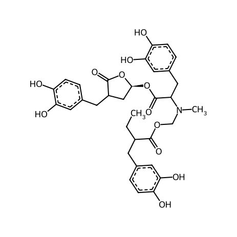 CCC(Cc1ccc(O)c(O)c1)C(=O)OCN(C)C(Cc1ccc(O)c(O)c1)C(=O)O[C@H]1CC(Cc2ccc(O)c(O)c2)C(=O)O1